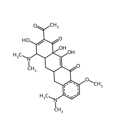 COc1ccc(N(C)C)c2c1C(=O)C1=C(O)C3(O)C(=O)C(C(C)=O)=C(O)C(N(C)C)C3CC1C2